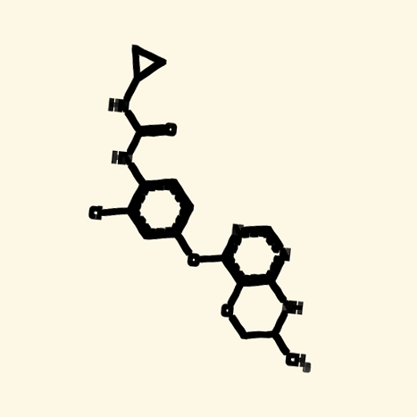 CC1COc2c(ncnc2Oc2ccc(NC(=O)NC3CC3)c(Cl)c2)N1